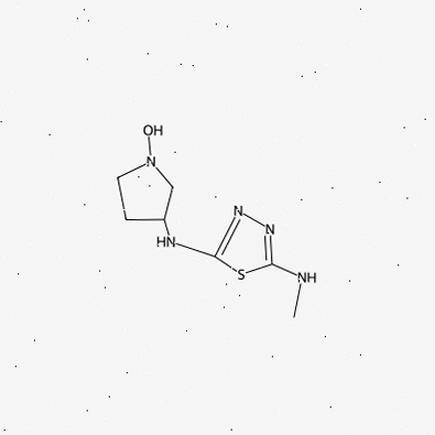 CNc1nnc(NC2CCN(O)C2)s1